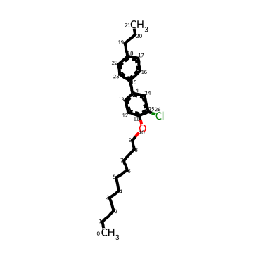 CCCCCCCCCCOc1ccc(-c2ccc(CCC)cc2)cc1Cl